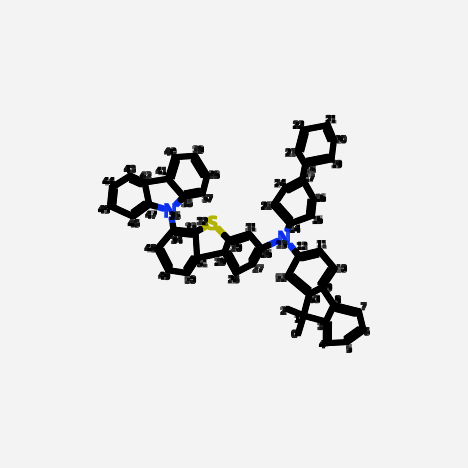 CC1(C)c2ccccc2-c2ccc(N(c3ccc(-c4ccccc4)cc3)c3ccc4c(c3)sc3c(-n5c6ccccc6c6ccccc65)cccc34)cc21